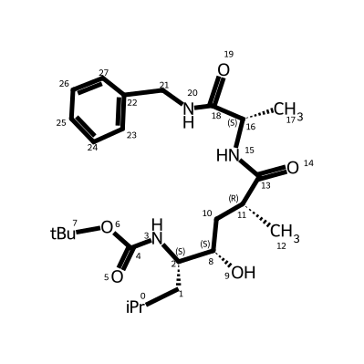 CC(C)C[C@H](NC(=O)OC(C)(C)C)[C@@H](O)C[C@@H](C)C(=O)N[C@@H](C)C(=O)NCc1ccccc1